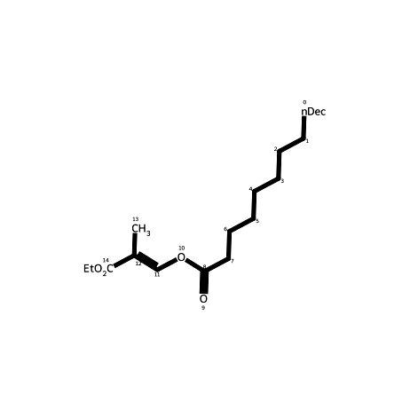 CCCCCCCCCCCCCCCCCC(=O)OC=C(C)C(=O)OCC